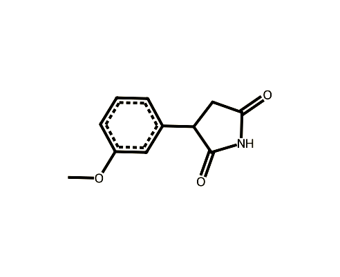 COc1cccc(C2CC(=O)NC2=O)c1